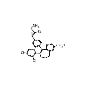 CC/C(=C\c1ccc(C2=C(c3ccc(Cl)cc3Cl)CCCc3cc(C(=O)O)ccc32)cc1)CN